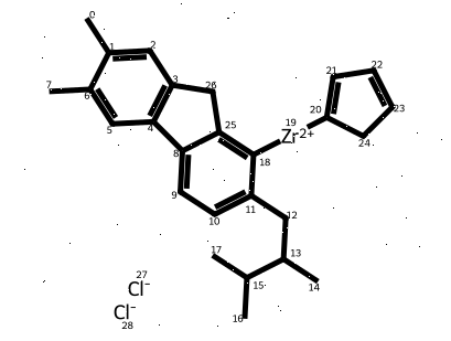 Cc1cc2c(cc1C)-c1ccc(CC(C)C(C)C)[c]([Zr+2][C]3=CC=CC3)c1C2.[Cl-].[Cl-]